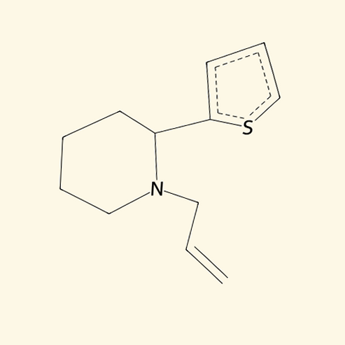 C=CCN1CCCCC1c1cccs1